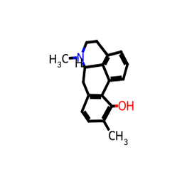 Cc1ccc2c(c1O)-c1cccc3c1[C@H](C2)N(C)CC3